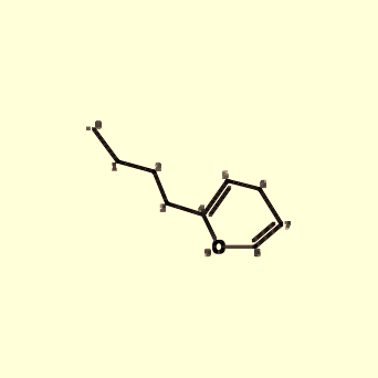 [CH2]CCCC1=CCC=CO1